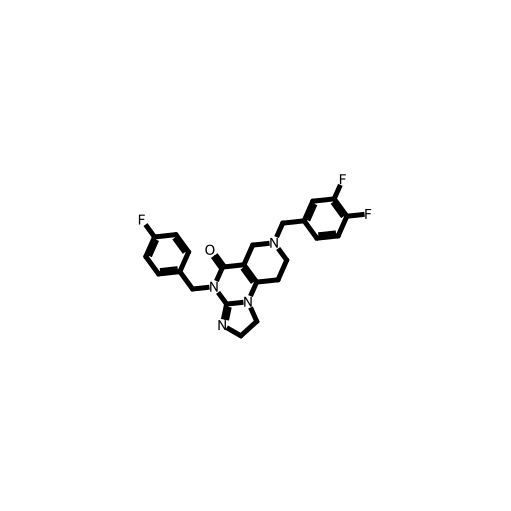 O=C1C2=C(CCN(Cc3ccc(F)c(F)c3)C2)N2CCN=C2N1Cc1ccc(F)cc1